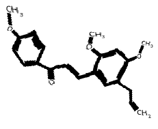 C=CCc1cc(C=CC(=O)c2ccc(OC)cc2)c(OC)cc1OC